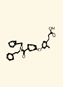 Cc1cc(Oc2cccc(C(=O)N(CCc3ccccc3)Cc3ccccc3)c2)ccc1CCC(=O)O